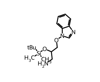 CC(C)(C)[Si](C)(C)OC(CN)COn1cnc2ccccc21